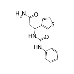 NC(=O)CC(NC(=O)Nc1ccccc1)c1ccsc1